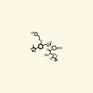 Cc1ncsc1-c1ccc(CNC(=O)[C@@H]2C[C@@H](O)CN2C(=O)C(NC(=O)C2(F)CC2)C(C)(C)C)c(OCCC2CNC2)c1